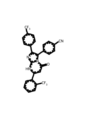 N#Cc1ccc(-c2c(-c3ccc(C(F)(F)F)cc3)nc3[nH]c(-c4ccccc4C(F)(F)F)cc(=O)n23)cc1